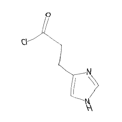 O=C(Cl)CCc1c[nH]cn1